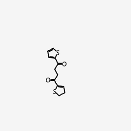 O=C(CCC(=O)c1cccs1)C1=CCCS1